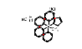 Cl.Cl.Cl.[CH3][V]([C]1=CC=CC1)([c]1ccccc1)([c]1ccccc1)([c]1ccccc1)[c]1ccccc1